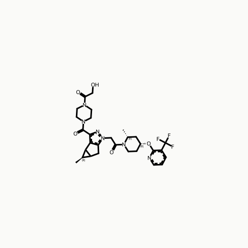 C[C@@H]1C2Cc3c(c(C(=O)N4CCN(C(=O)CO)CC4)nn3CC(=O)N3CC[C@@H](Oc4ncccc4C(F)(F)F)C[C@H]3C)C21